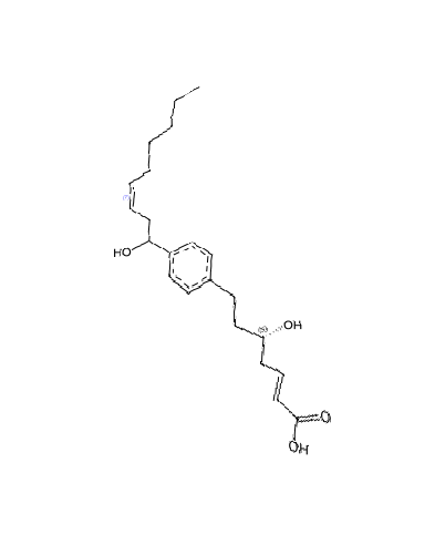 CCCCC/C=C\CC(O)c1ccc(CC[C@H](O)CC=CC(=O)O)cc1